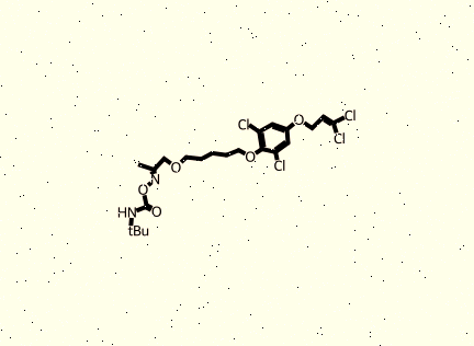 CC(COCCCCCOc1c(Cl)cc(OCC=C(Cl)Cl)cc1Cl)=NOC(=O)NC(C)(C)C